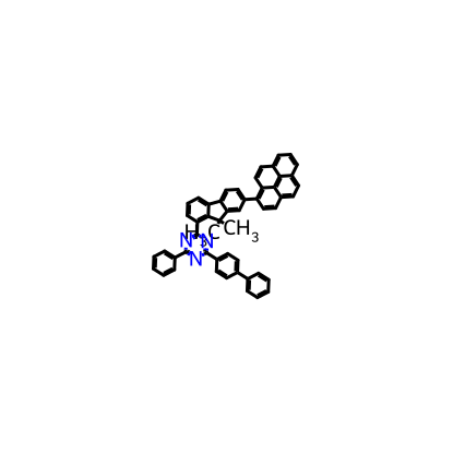 CC1(C)c2cc(-c3ccc4ccc5cccc6ccc3c4c56)ccc2-c2cccc(-c3nc(-c4ccccc4)nc(-c4ccc(-c5ccccc5)cc4)n3)c21